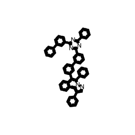 c1ccc(-c2cccc(-c3nc(-c4ccccc4)nc(-c4cccc(-c5cccc(-c6c(-c7ccccc7)n7ncc(-c8ccccc8)c7c7ccccc67)c5)c4)n3)c2)cc1